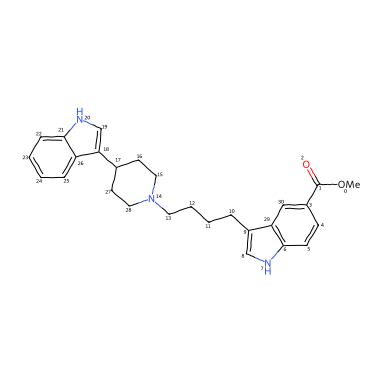 COC(=O)c1ccc2[nH]cc(CCCCN3CCC(c4c[nH]c5ccccc45)CC3)c2c1